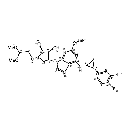 CCCSc1nc(N[C@@H]2C[C@H]2c2ccc(F)c(F)c2)c2nnn([C@@H]3C[C@H](OCC(OC)OC)[C@@H](O)[C@H]3O)c2n1